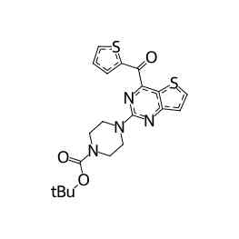 CC(C)(C)OC(=O)N1CCN(c2nc(C(=O)c3cccs3)c3sccc3n2)CC1